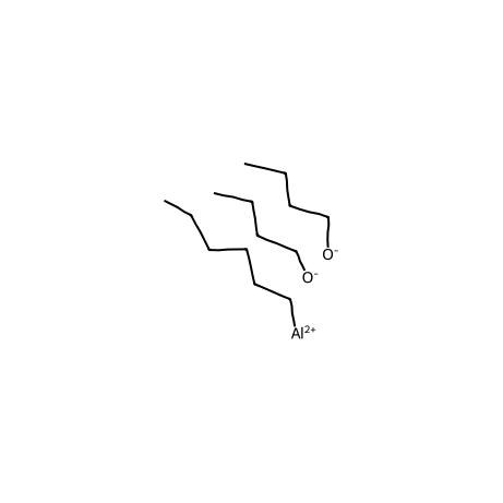 CCCCC[CH2][Al+2].CCCC[O-].CCCC[O-]